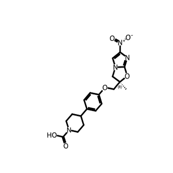 C[C@]1(COc2ccc(C3CCN(C(=O)O)CC3)cc2)Cn2cc([N+](=O)[O-])nc2O1